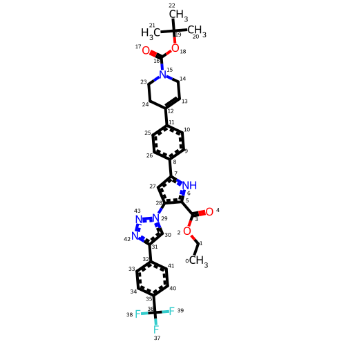 CCOC(=O)c1[nH]c(-c2ccc(C3=CCN(C(=O)OC(C)(C)C)CC3)cc2)cc1-n1cc(-c2ccc(C(F)(F)F)cc2)nn1